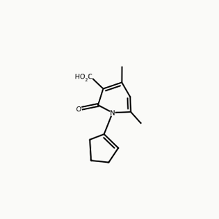 Cc1cc(C)n(C2=CCCC2)c(=O)c1C(=O)O